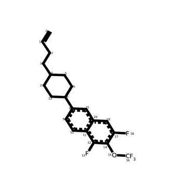 C=CCCC1CCC(c2ccc3c(F)c(OC(F)(F)F)c(F)cc3c2)CC1